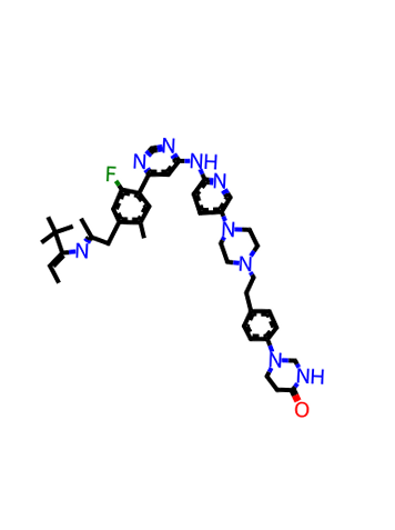 C/C=C(\N=C(/C)Cc1cc(F)c(-c2cc(Nc3ccc(N4CCN(CCc5ccc(N6CCC(=O)NC6)cc5)CC4)cn3)ncn2)cc1C)C(C)(C)C